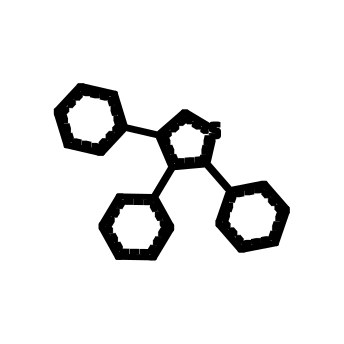 c1ccc(-c2csc(-c3ccccc3)c2-c2ccccc2)cc1